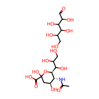 CC(=O)N[C@@H]1[C@@H](O)CC(O)(C(=O)O)O[C@H]1C(O)C(O)CO.O=CC(O)C(O)C(O)C(O)CO